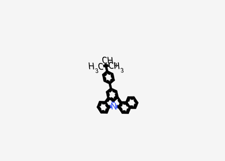 CC(C)(C)c1ccc(-c2cc3c4ccccc4n4c5ccc6ccccc6c5c(c2)c34)cc1